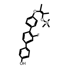 CC(Oc1ccc(-c2ccc(-c3ccc(O)cc3)cc2F)cc1)=C(C)O[Si](C)(C)C